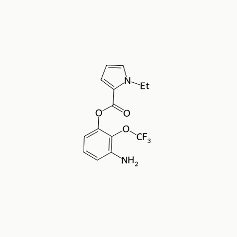 CCn1cccc1C(=O)Oc1cccc(N)c1OC(F)(F)F